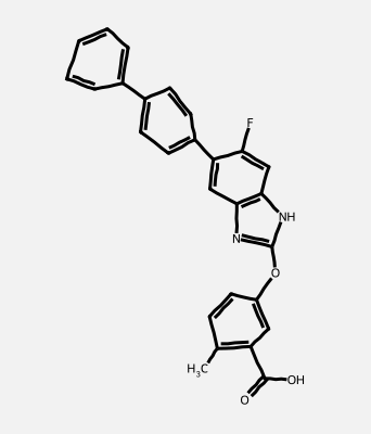 Cc1ccc(Oc2nc3cc(-c4ccc(-c5ccccc5)cc4)c(F)cc3[nH]2)cc1C(=O)O